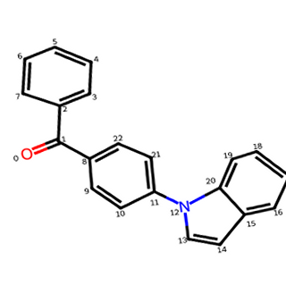 O=C(c1ccccc1)c1ccc(-n2ccc3ccccc32)cc1